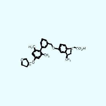 C=C1C[C@@H](CC(=O)O)c2ccc(OCc3cccc(-c4c(C)cc(O[C@@H]5CCOC5)cc4C)c3)cc21